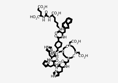 O=C(O)CCC(NC(=O)NC(CCCCNC(=O)C(Cc1ccc2ccccc2c1)NC(=O)C1CCC(CNC(=O)C(Cc2c[nH]cn2)NC(=O)C(Cc2ccc[nH]2)NC(=O)C(Cc2c[nH]cn2)NC(=O)CN2CCN(CC(=O)O)CCN(CC(=O)O)CCN(CC(=O)O)CC2)CC1)C(=O)O)C(=O)O